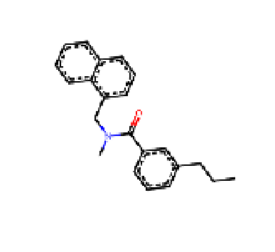 CCCc1cccc(C(=O)N(C)Cc2cccc3ccccc23)c1